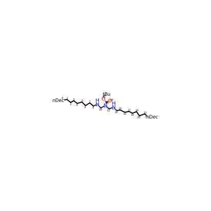 CCCCCCCCCCCCCCCCCCNCN(CNCCCCCCCCCCCCCCCCCC)C(=O)OC(C)(C)C